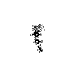 CC(C)(C)S(C)(C)N(C(=O)c1cc(Cl)c(Oc2cnc(OCC(F)(F)C(F)F)c(Cl)c2)cc1F)S(=N)(=O)C1CC1